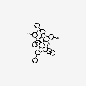 N#Cc1cc(C#N)cc(-c2ccc(-n3c4ccc(-c5ccccc5)cc4c4cc(-c5ccccc5)ccc43)c(-c3nc(-c4ccccc4)nc(-c4cc(C#N)ccc4-n4c5ccc(-c6ccccc6)cc5c5cc(-c6ccccc6)ccc54)n3)c2)c1